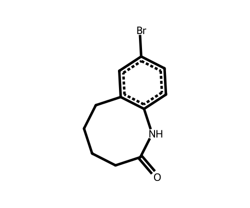 O=C1CCCCc2cc(Br)ccc2N1